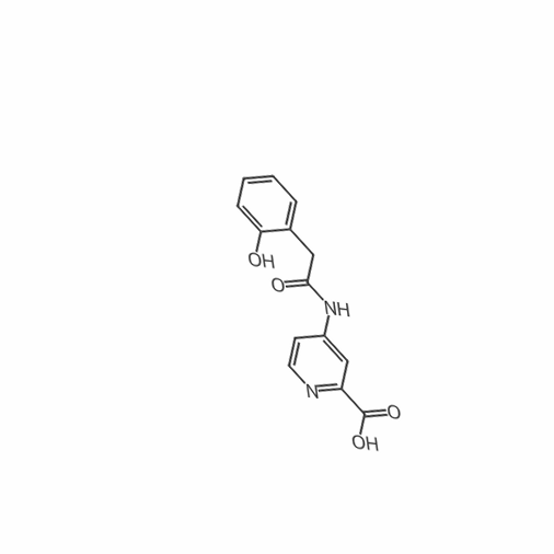 O=C(Cc1ccccc1O)Nc1ccnc(C(=O)O)c1